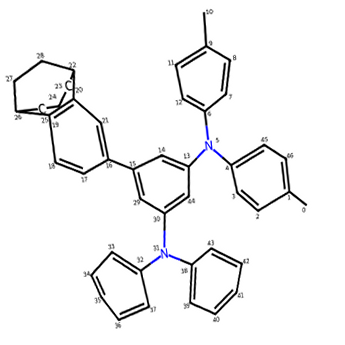 Cc1ccc(N(c2ccc(C)cc2)c2cc(-c3ccc4c(c3)C3CCCC4CC3)cc(N(c3ccccc3)c3ccccc3)c2)cc1